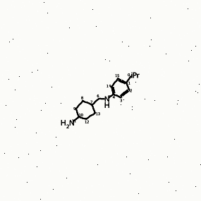 CC(C)c1ccc(NCC2CCC(N)CC2)cc1